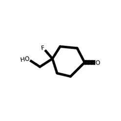 O=C1CCC(F)(CO)CC1